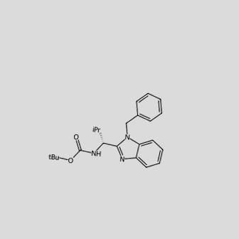 CC(C)[C@@H](NC(=O)OC(C)(C)C)c1nc2ccccc2n1Cc1ccccc1